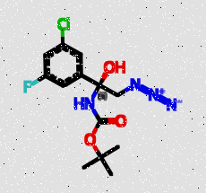 CC(C)(C)OC(=O)N[C@@](O)(CN=[N+]=[N-])c1cc(F)cc(Cl)c1